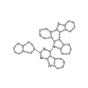 c1ccc2cc(-c3nc(-n4c5ccccc5c5c6c7ccccc7sc6c6ccccc6c54)c4c(n3)oc3ccccc34)ccc2c1